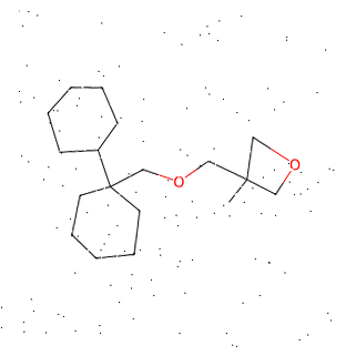 CC1(COCC2(C3CCCCC3)CCCCC2)COC1